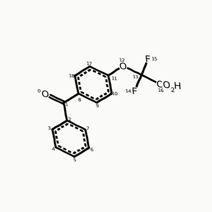 O=C(c1ccccc1)c1ccc(OC(F)(F)C(=O)O)cc1